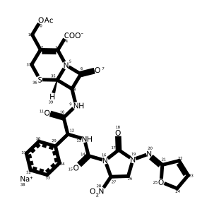 CC(=O)OCC1=C(C(=O)[O-])N2C(=O)C(NC(=O)C(NC(=O)N3C(=O)N(N=C4C=CCO4)CC3[N+](=O)[O-])c3ccccc3)[C@@H]2SC1.[Na+]